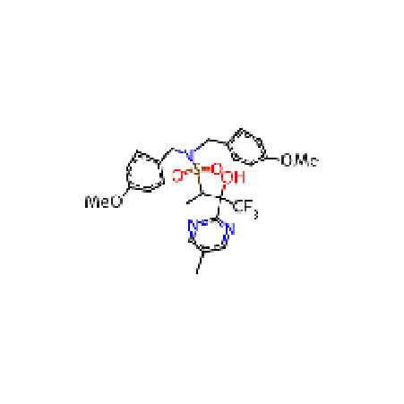 COc1ccc(CN(Cc2ccc(OC)cc2)S(=O)(=O)C(C)C(O)(c2ncc(C)cn2)C(F)(F)F)cc1